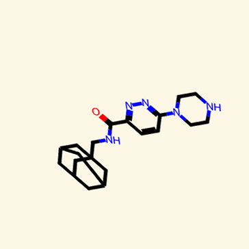 O=C(NCC12CC3CC(CC(C3)C1)C2)c1ccc(N2CCNCC2)nn1